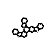 c1ccc2c(c1)cn1c2c2cc3c(cc2c2ccc4sc5ccccc5c4c21)oc1ccccc13